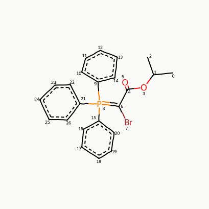 CC(C)OC(=O)C(Br)=P(c1ccccc1)(c1ccccc1)c1ccccc1